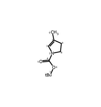 CC1=CN(C(=O)OC(C)(C)C)CC1